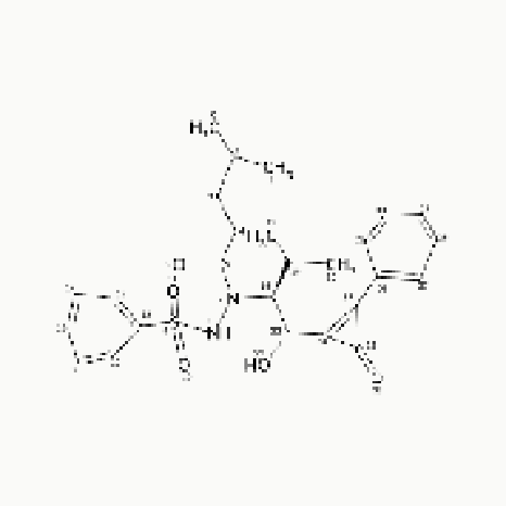 CC(C)CCC(=O)N(NS(=O)(=O)c1ccccc1)[C@@H](C(C)C)[C@@H](O)c1c(-c2ccccc2)c1=O